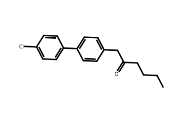 CCCCC(=O)Cc1ccc(-c2ccc(Cl)cc2)cc1